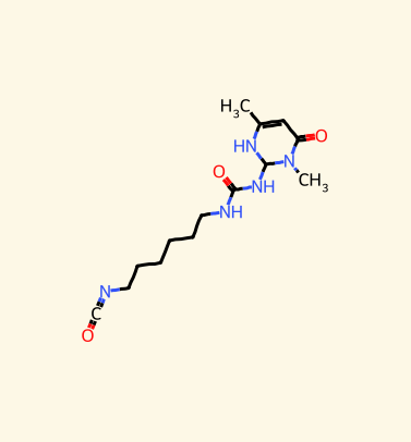 CC1=CC(=O)N(C)C(NC(=O)NCCCCCCN=C=O)N1